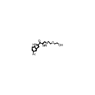 CC(=O)c1ccc2[nH]c(C(=O)c3cn(CCOCCO)nn3)cc2c1